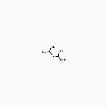 CCCCCCC(CCCC)SC(CCCC)CCCCCC